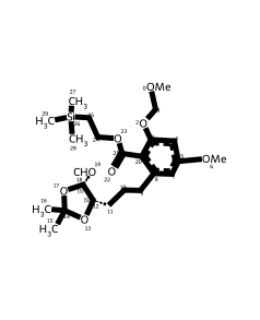 COCOc1cc(OC)cc(CCC[C@@H]2OC(C)(C)O[C@@H]2C=O)c1C(=O)OCC[Si](C)(C)C